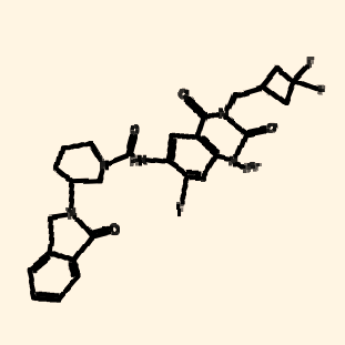 CC(C)n1c(=O)n(CC2CC(F)(F)C2)c(=O)c2cc(NC(=O)N3CCCC(N4Cc5ccccc5C4=O)C3)c(F)cc21